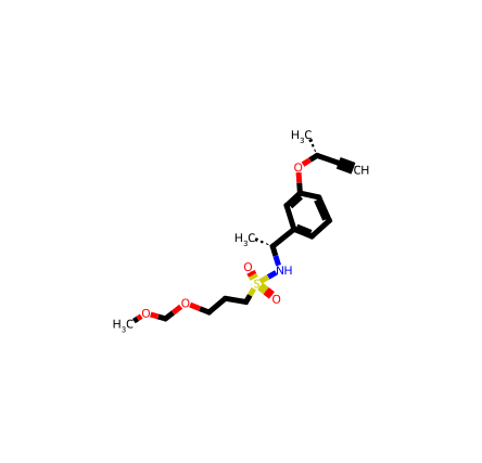 C#C[C@@H](C)Oc1cccc([C@@H](C)NS(=O)(=O)CCCOCOC)c1